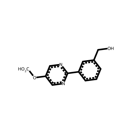 O=C(O)Oc1cnc(-c2cccc(CO)c2)nc1